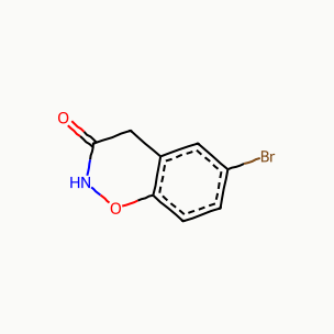 O=C1Cc2cc(Br)ccc2ON1